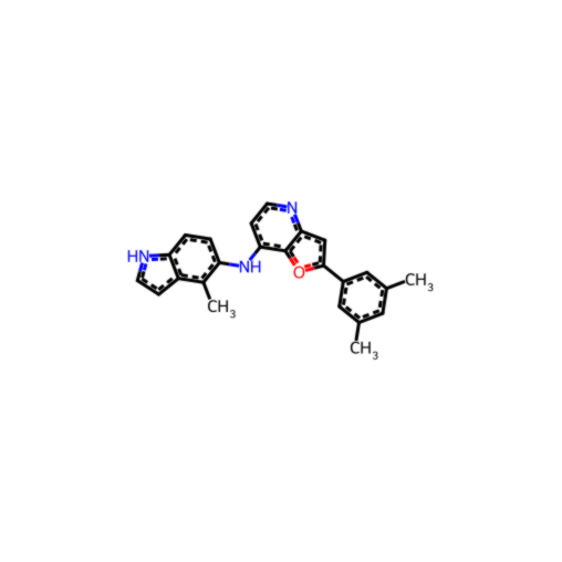 Cc1cc(C)cc(-c2cc3nccc(Nc4ccc5[nH]ccc5c4C)c3o2)c1